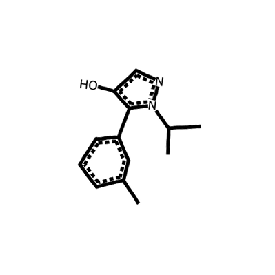 Cc1cccc(-c2c(O)cnn2C(C)C)c1